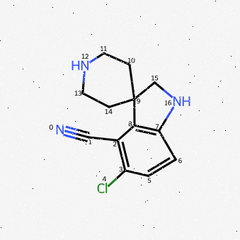 N#Cc1c(Cl)ccc2c1C1(CCNCC1)CN2